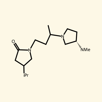 CN[C@H]1CCN(C(C)CCN2CC(C(C)C)CC2=O)C1